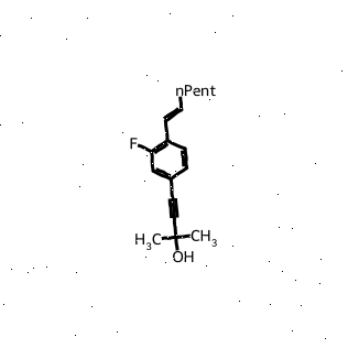 CCCCCC=Cc1ccc(C#CC(C)(C)O)cc1F